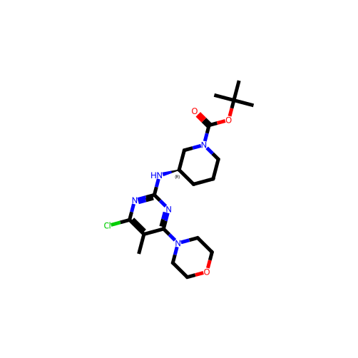 Cc1c(Cl)nc(N[C@@H]2CCCN(C(=O)OC(C)(C)C)C2)nc1N1CCOCC1